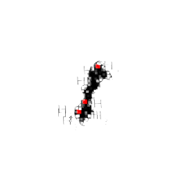 COC(=O)N[C@H](C(=O)N1[C@@H](C)CC[C@H]1c1ncc(-c2ccc3c(c2)COc2cc4c(ccc5nc([C@@H]6CC[C@H](C)N6C(=O)[C@@H](NC(=O)OC)C6CCOCC6)[nH]c54)cc2-3)[nH]1)C(C)C